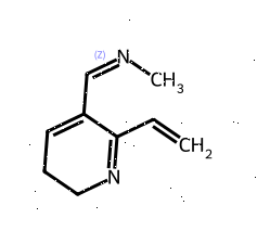 C=CC1=NCCC=C1/C=N\C